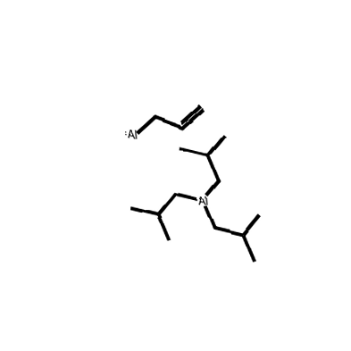 C=C[CH2][Al].CC(C)[CH2][Al]([CH2]C(C)C)[CH2]C(C)C